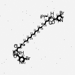 CC(C)C[C@H](NC(=O)c1cncc(Br)c1)C(=O)CCSCCCCCCCCCCSCCC(=O)[C@H](CC(C)C)NC(=O)c1cncc(Br)c1